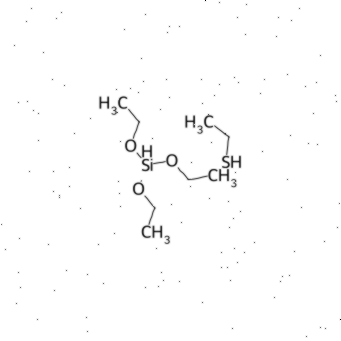 CCO[SiH](OCC)OCC.CCS